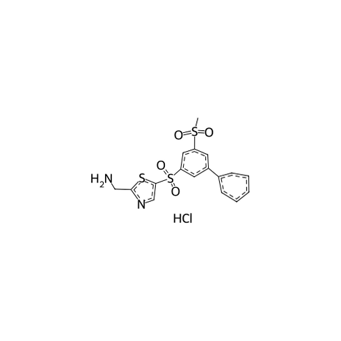 CS(=O)(=O)c1cc(-c2ccccc2)cc(S(=O)(=O)c2cnc(CN)s2)c1.Cl